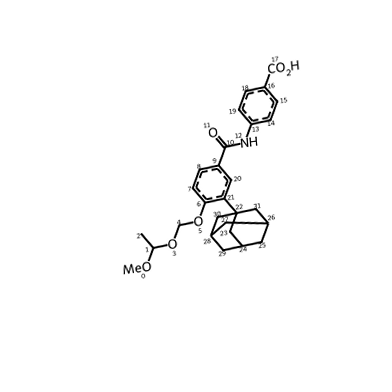 COC(C)OCOc1ccc(C(=O)Nc2ccc(C(=O)O)cc2)cc1C12CC3CC(CC(C3)C1)C2